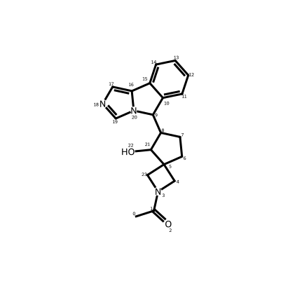 CC(=O)N1CC2(CCC(C3c4ccccc4-c4cncn43)C2O)C1